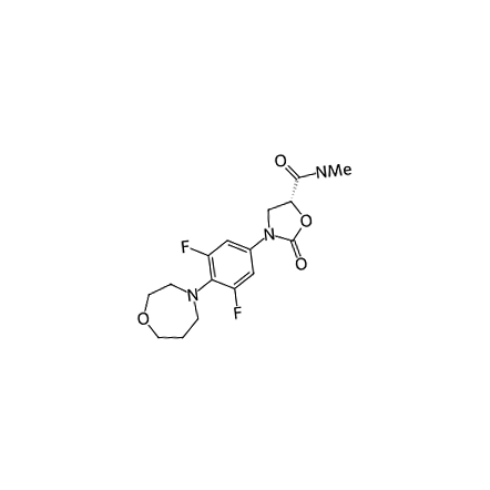 CNC(=O)[C@H]1CN(c2cc(F)c(N3CCCOCC3)c(F)c2)C(=O)O1